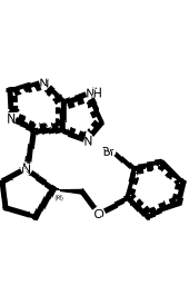 Brc1ccccc1OC[C@H]1CCCN1c1ncnc2[nH]cnc12